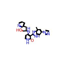 Cc1cc(-n2ccnc2)cc2[nH]c(-c3c(NC(CO)Cc4cccnc4)cc[nH]c3=O)nc12